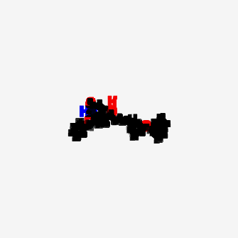 O=c1ccc2c([C@@H](O)C[AsH]CCc3cccc(OCC45CC6CC(CC(C6)C4)C5)c3)ccc(OCc3ccccc3)c2[nH]1